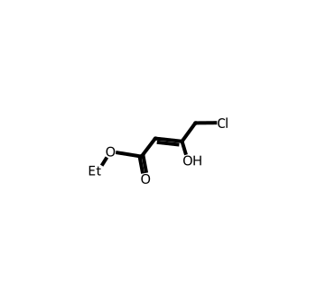 CCOC(=O)/C=C(\O)CCl